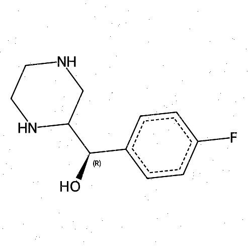 O[C@H](c1ccc(F)cc1)C1CNCCN1